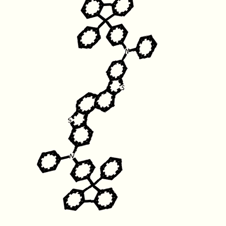 c1ccc(N(c2ccc(C3(c4ccccc4)c4ccccc4-c4ccccc43)cc2)c2ccc3c(c2)sc2ccc4c(ccc5sc6cc(N(c7ccccc7)c7ccc(C8(c9ccccc9)c9ccccc9-c9ccccc98)cc7)ccc6c54)c23)cc1